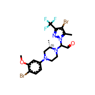 COc1cc(N2CCN(C(C=O)n3nc(C(F)(F)F)c(Br)c3C)[C@@H](C)C2)ccc1Br